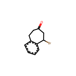 O=C1CCc2ccccc2C(Br)C1